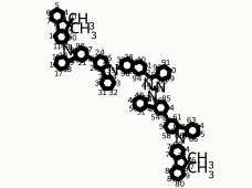 CC1(C)c2ccccc2-c2ccc(-n3c4ccccc4c4cc(-c5ccc6c(c5)c5ccccc5n6-c5ccc6ccc(-c7nc(-n8c9ccccc9c9cc(-c%10ccc%11c(c%10)c%10ccccc%10n%11-c%10ccc%11c(c%10)C(C)(C)c%10ccccc%10-%11)ccc98)nc8ccccc78)cc6c5)ccc43)cc21